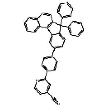 N#Cc1ccnc(-c2ccc(-c3ccc4c(c3)-c3c(ccc5ccccc35)C4(c3ccccc3)c3ccccc3)cc2)c1